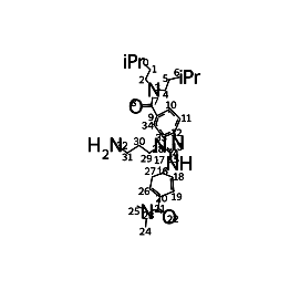 CC(C)CCN(CCC(C)C)C(=O)c1ccc2nc(N[C@@]3(C)C=CC(C(=O)N(C)C)=CC3)n(CCCN)c2c1